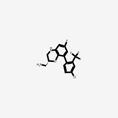 NC[C@@H]1CNc2cc(F)cc(-c3ccc(Cl)cc3C(F)(F)F)c2O1